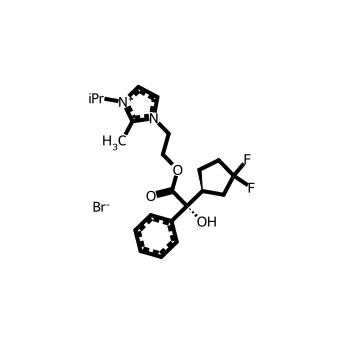 Cc1n(CCOC(=O)[C@](O)(c2ccccc2)[C@H]2CCC(F)(F)C2)cc[n+]1C(C)C.[Br-]